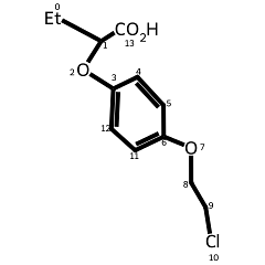 CCC(Oc1ccc(OCCCl)cc1)C(=O)O